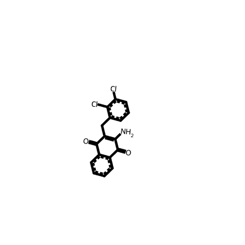 NC1=C(Cc2cccc(Cl)c2Cl)C(=O)c2ccccc2C1=O